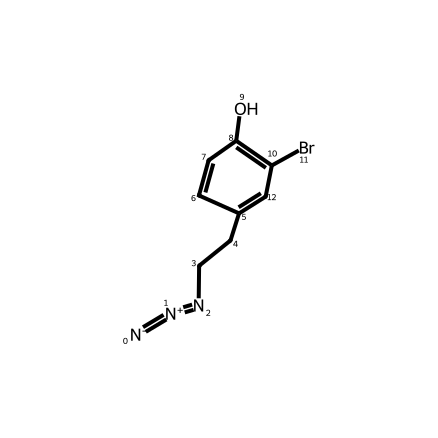 [N-]=[N+]=NCCc1ccc(O)c(Br)c1